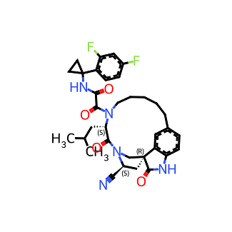 CC(C)C[C@H]1C(=O)N2C[C@]3(C[C@H]2C#N)C(=O)Nc2ccc(cc23)CCCCCN1C(=O)C(=O)NC1(c2ccc(F)cc2F)CC1